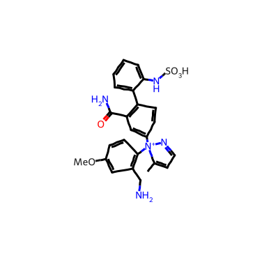 COc1ccc([N+]2(c3ccc(-c4ccccc4NS(=O)(=O)O)c(C(N)=O)c3)N=CC=C2C)c(CN)c1